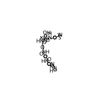 Cc1ncsc1-c1ccc(CNC(=O)[C@@H]2C[C@@H](O)CN2C(=O)[C@@H](NC(=O)CCOCCNC(=O)c2ccc(C(=O)Nc3ccc4[nH]c(CN5CCC[C@@H]5C)nc4c3)cc2)C(C)(C)C)cc1